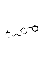 CN(CCCN1CCN(Cc2ccccc2)CC1)CC(O)=S